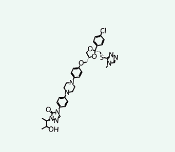 CC(O)C(C)n1ncn(-c2ccc(N3CCN(c4ccc(OC[C@@H]5CO[C@@](CSc6nncn6C)(c6ccc(Cl)cc6)O5)cc4)CC3)cc2)c1=O